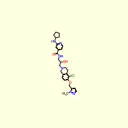 Cn1nccc1COc1ccc2c(c1Cl)CCN(CC(O)CNC(=O)c1ccnc(NC3CCCC3)c1)C2